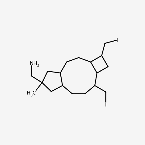 CC1(CN)CC2CCC(CI)C3CC(CI)C3CCC2C1